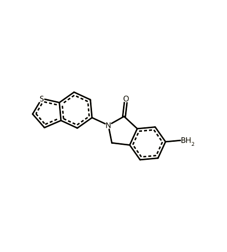 Bc1ccc2c(c1)C(=O)N(c1ccc3sccc3c1)C2